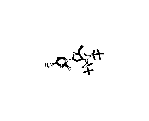 C=C[C@]1(CO[Si](C)(C)C(C)(C)C)O[C@@H](n2ccc(N)nc2=O)C[C@@H]1O[Si](C)(C)C(C)(C)C